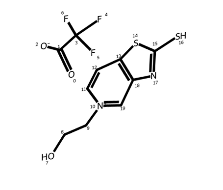 O=C([O-])C(F)(F)F.OCC[n+]1ccc2sc(S)nc2c1